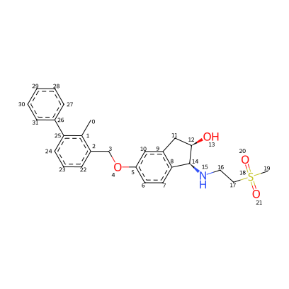 Cc1c(COc2ccc3c(c2)C[C@@H](O)[C@H]3NCCS(C)(=O)=O)cccc1-c1ccccc1